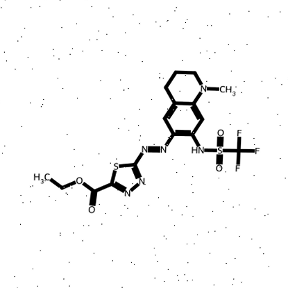 CCOC(=O)c1nnc(N=Nc2cc3c(cc2NS(=O)(=O)C(F)(F)F)N(C)CCC3)s1